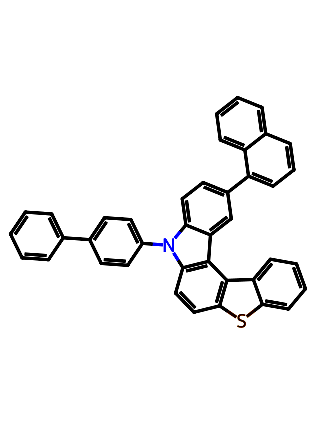 c1ccc(-c2ccc(-n3c4ccc(-c5cccc6ccccc56)cc4c4c5c(ccc43)sc3ccccc35)cc2)cc1